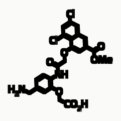 COC(=O)c1cc(OCC(=O)Nc2ccc(CN)cc2OCC(=O)O)c2c(Cl)cc(Cl)cc2c1